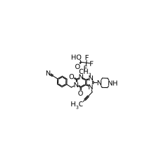 CC#CCn1c(N2CCNCC2)nc2c1c(=O)n(Cc1ccc(C#N)cc1)c(=O)n2C.O=C(O)C(F)(F)F